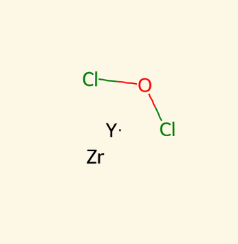 ClOCl.[Y].[Zr]